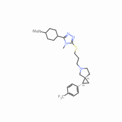 CNC1CCC(c2nnc(SCCCN3CC[C@]4(C[C@@H]4c4ccc(C(F)(F)F)cc4)C3)n2C)CC1